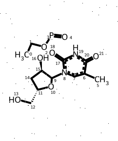 CCOP=O.Cc1cn(C2O[C@H](CO)C[C@H]2O)c(=O)[nH]c1=O